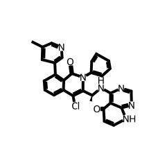 Cc1cncc(-c2cccc3c(Cl)c([C@H](C)Nc4ncnc5[nH]ccc(=O)c45)n(-c4ccccc4)c(=O)c23)c1